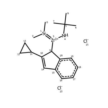 C[Si](C)=[Zr+2]([NH]C(C)(C)C)[CH]1C(C2CC2)=Cc2ccccc21.[Cl-].[Cl-]